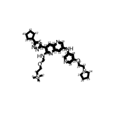 C[Si](C)(C)CCOCNc1nc2cc(Nc3cncc(OCCN4CCCC4)c3)cnc2cc1-c1nnc(C2CCCC2)s1